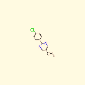 Cc1cnc(-c2ccc(Cl)cc2)nc1